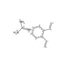 C=Cc1ccccc1C=C.N=C(N)N